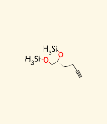 C#CCC[C@H](CO[SiH3])O[SiH3]